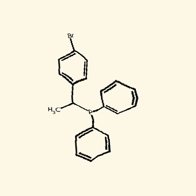 CC(c1ccc(Br)cc1)P(c1ccccc1)c1ccccc1